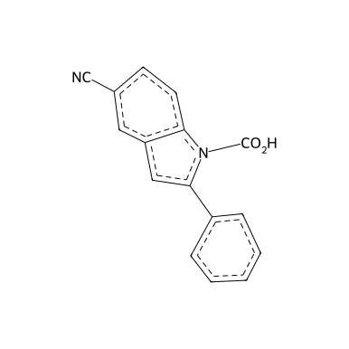 N#Cc1ccc2c(c1)cc(-c1ccccc1)n2C(=O)O